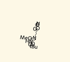 CO[C@H]1CN(CCCCCC(=O)OC2CN3CCC2CC3)CC[C@H]1NC(=O)OC(C)(C)C